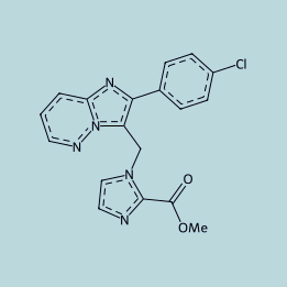 COC(=O)c1nccn1Cc1c(-c2ccc(Cl)cc2)nc2cccnn12